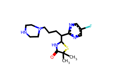 CC1(C)SC(C(CCCN2CCNCC2)c2ncc(F)cn2)NC1=O